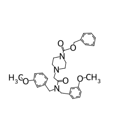 COc1cccc(CN(Cc2cccc(OC)c2)C(=O)CN2CCN(C(=O)OCc3ccccc3)CC2)c1